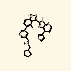 Fc1c(-c2cncc(CNCC3CCCC3)c2)ccc2[nH]nc(-c3nc4c(-c5ccsc5)ccnc4[nH]3)c12